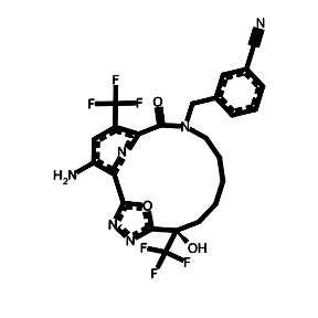 N#Cc1cccc(CN2CCCCC[C@](O)(C(F)(F)F)c3nnc(o3)-c3nc(c(C(F)(F)F)cc3N)C2=O)c1